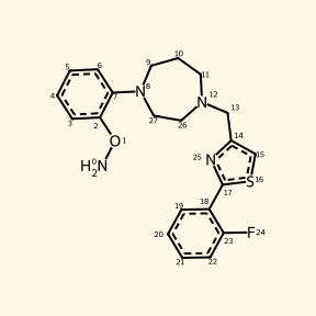 NOc1ccccc1N1CCCN(Cc2csc(-c3ccccc3F)n2)CC1